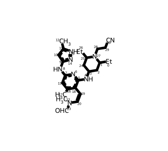 CCC1CC(Nc2nc(Nc3cc(C)[nH]n3)cc(C)c2/C=C\N(C)C=O)CC(CC)N1CCC#N